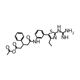 CCc1nc(NC(=N)N)sc1-c1cccc(NC(=O)CC(CC(=O)OC(C)=O)c2ccccc2)c1